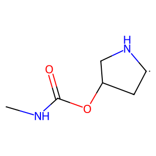 CNC(=O)OC1C[CH]NC1